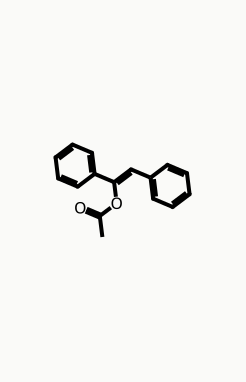 CC(=O)O/C(=C\c1ccccc1)c1ccccc1